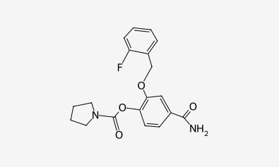 NC(=O)c1ccc(OC(=O)N2CCCC2)c(OCc2ccccc2F)c1